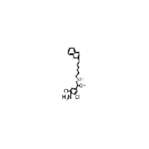 Nc1c(Cl)cc(C(O)CNCCCCCCC2=CCc3ccccc3[CH]2)cc1Cl